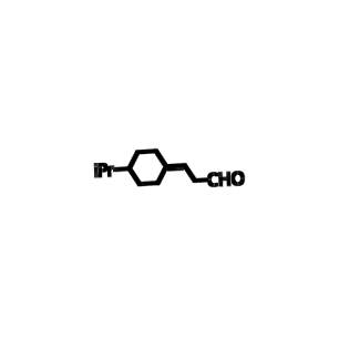 CC(C)C1CCC(=CCC=O)CC1